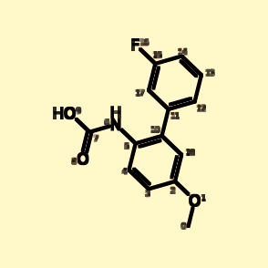 COc1ccc(NC(=O)O)c(-c2cccc(F)c2)c1